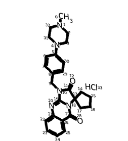 CN1CCN(c2ccc(CN3C(=O)C4(CCCC4)n4c3nc3ccccc3c4=O)cc2)CC1.Cl